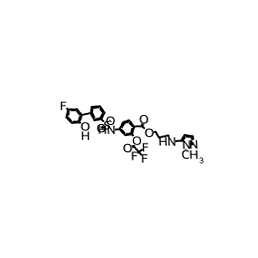 Cn1nccc1NCCCOC(=O)c1ccc(NS(=O)(=O)c2cccc(-c3cc(F)ccc3O)c2)cc1OC(=O)C(F)(F)F